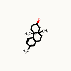 Cc1ccc2c(c1)CCC1(C)CC(=O)CC[C@@]21C